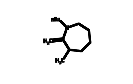 C=C1C(C)CCCCN1CCCC